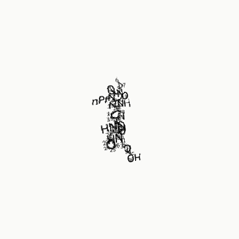 CCCn1c(=O)n(C2CC2)c(=O)c2[nH]c(-c3ccc(C(=O)N[C@H](Cc4ccccc4)C(=O)NCCOCCO)nc3)nc21